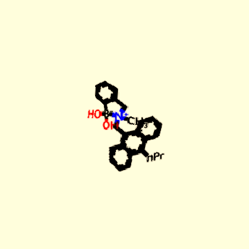 CCCc1c2ccccc2c(C[N+]2(C)Cc3ccccc3[B-]2(O)O)c2ccccc12